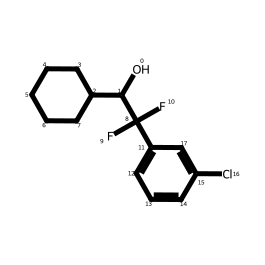 OC(C1CCCCC1)C(F)(F)c1cccc(Cl)c1